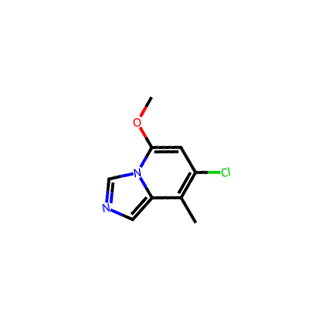 COc1cc(Cl)c(C)c2cncn12